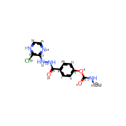 CC(C)(C)NC(=O)Oc1ccc(C(=O)NNc2nccnc2Cl)cc1